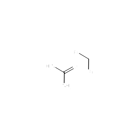 CC(C)CC(C)C.NC(N)=O